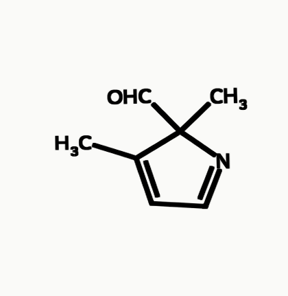 CC1=CC=NC1(C)C=O